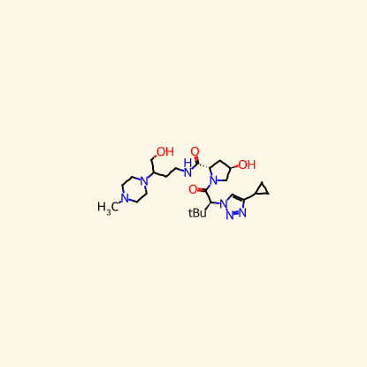 CN1CCN(C(CO)CCNC(=O)[C@@H]2C[C@@H](O)CN2C(=O)[C@@H](n2cc(C3CC3)nn2)C(C)(C)C)CC1